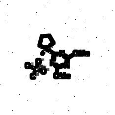 COc1nc(OC)nc([N+]2(C)CCCC2)n1.[O-][Cl+3]([O-])([O-])[O-]